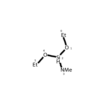 CCO[SiH](NC)OCC